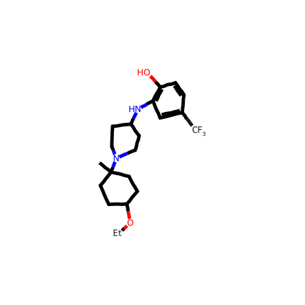 CCOC1CCC(C)(N2CCC(Nc3cc(C(F)(F)F)ccc3O)CC2)CC1